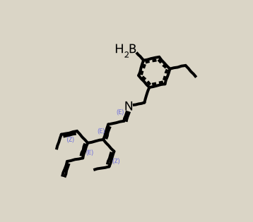 Bc1cc(CC)cc(C/N=C/C=C(\C=C/C)C(/C=C\C)=C/C=C)c1